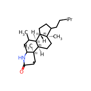 CC(C)CCC1CC[C@H]2[C@@H]3C(C)CC4NC(=O)C=C[C@]4(C)[C@@H]3CC[C@]12C